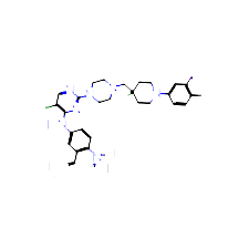 C=Cc1cc(Nc2nc(N3CCN(CC4(F)CCN(c5ccc(CC)c(I)c5)CC4)CC3)ncc2Cl)ccc1N(C)C